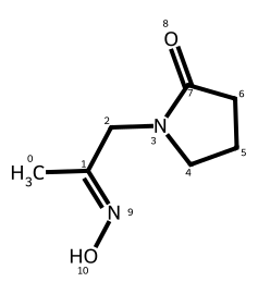 CC(CN1CCCC1=O)=NO